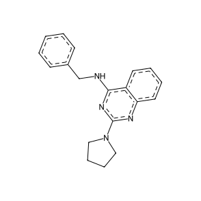 c1ccc(CNc2nc(N3CCCC3)nc3ccccc23)cc1